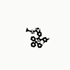 Fc1ccc(-c2nn(C(c3ccccc3)(c3ccccc3)c3ccccc3)cc2-c2ccc3ncnc(-c4nnc(C5CC5)o4)c3c2)c(F)c1